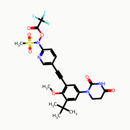 COc1c(C#Cc2ccc(N(OC(=O)C(F)(F)F)S(C)(=O)=O)nc2)cc(N2CCC(=O)NC2=O)cc1C(C)(C)C